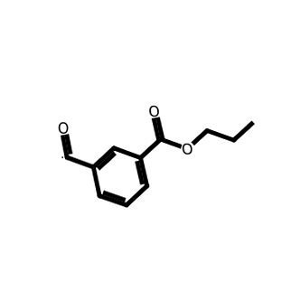 CCCOC(=O)c1cccc([C]=O)c1